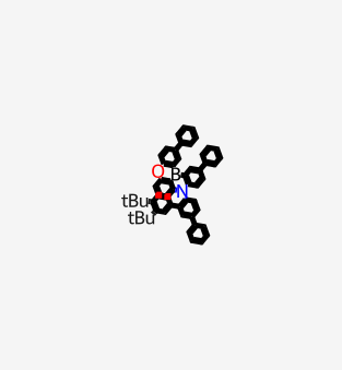 CC(C)(C)c1ccc(-c2cc(-c3ccccc3)ccc2N2c3ccc(-c4ccccc4)cc3B3c4cc(-c5ccccc5)ccc4Oc4cccc2c43)cc1C(C)(C)C